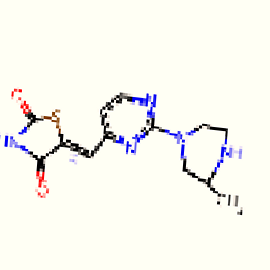 CC1CN(c2nccc(/C=C3\SC(=O)NC3=O)n2)CCN1